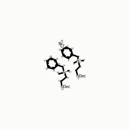 CCCCCCCCCCCC[N+](C)(C)Cc1ccccc1.CCCCCCCCCCCC[N+](C)(C)Cc1ccccc1.[Br-].[Cl-]